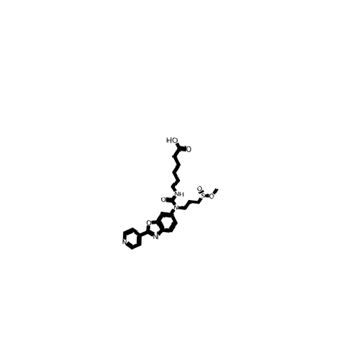 COS(=O)CCCN(C(=O)NCCCCCC(=O)O)c1ccc2nc(-c3ccncc3)oc2c1